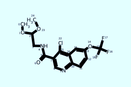 COC(CNC(=O)c1cnc2ccc(OC(F)(F)F)cc2c1Cl)OC